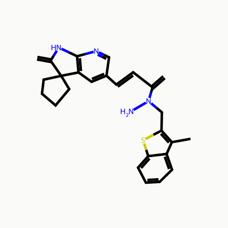 C=C(/C=C/c1cnc2c(c1)C1(CCCC1)C(=C)N2)N(N)Cc1sc2ccccc2c1C